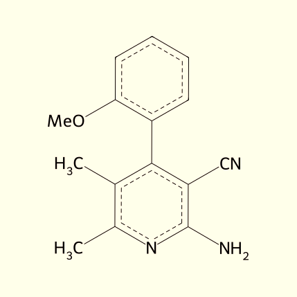 COc1ccccc1-c1c(C)c(C)nc(N)c1C#N